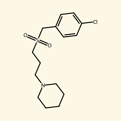 O=S(=O)(CCCN1CC[CH]CC1)Cc1ccc(Cl)cc1